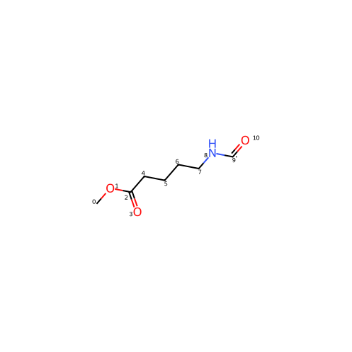 COC(=O)CCCCN[C]=O